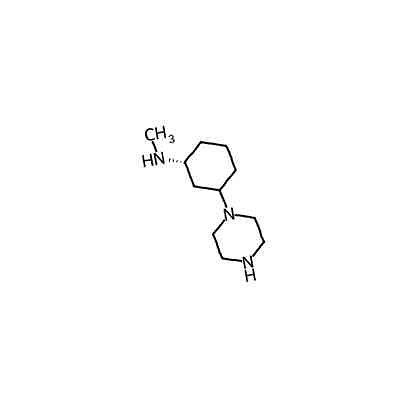 CN[C@@H]1CCCC(N2CCNCC2)C1